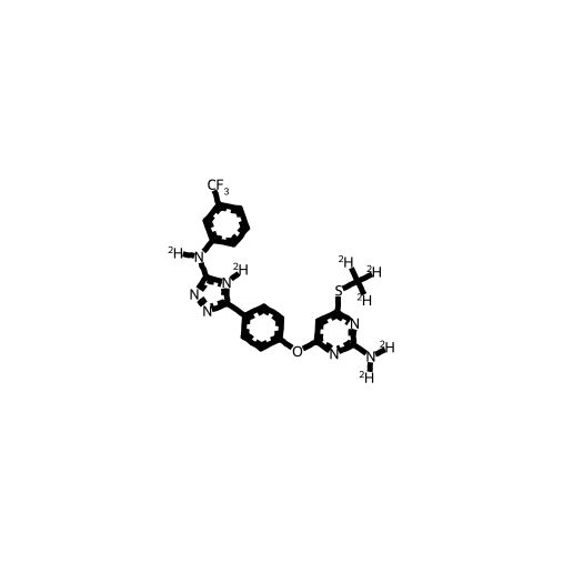 [2H]N([2H])c1nc(Oc2ccc(-c3nnc(N([2H])c4cccc(C(F)(F)F)c4)n3[2H])cc2)cc(SC([2H])([2H])[2H])n1